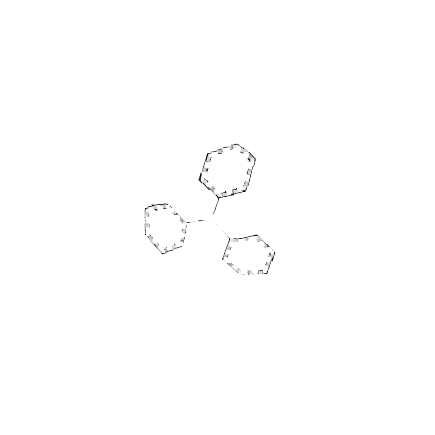 P.c1ccc([Si](c2ccccc2)c2ccccc2)cc1